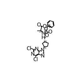 C[C@H](NP(=O)(OC[C@@H]1CC[C@H](n2cnc3c(Cl)nc(Cl)nc32)C1)Oc1ccccc1)C(=O)O